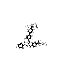 COC(=O)c1ccc(CNC[C@H](OCc2ccc(-c3ccc(C(C)(C)C)cc3)cc2F)c2c#cccc2)cc1